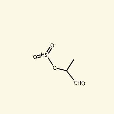 CC(C=O)O[SH](=O)=O